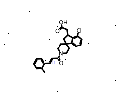 Cc1ccccc1/C=C/C(=O)N1CCC2(CC1)CC(CC(=O)O)c1c(Cl)cccc12